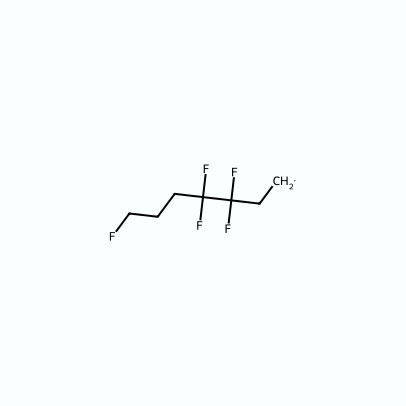 [CH2]CC(F)(F)C(F)(F)CCCF